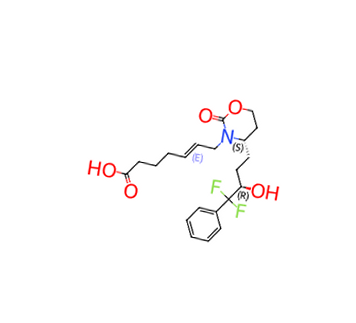 O=C(O)CCC/C=C/CN1C(=O)OCC[C@@H]1CC[C@@H](O)C(F)(F)c1ccccc1